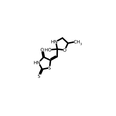 CC1CNC(O)(C=C2SC(=S)NC2=O)O1